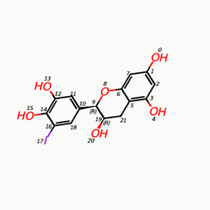 Oc1cc(O)c2c(c1)O[C@H](c1cc(O)c(O)c(I)c1)[C@H](O)C2